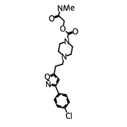 CNC(=O)COC(=O)N1CCN(CCc2cc(-c3ccc(Cl)cc3)no2)CC1